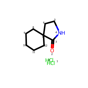 Cl.Cl.O=C1NCCC12CCCCC2